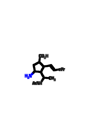 CCCC=CC1C(C(=O)O)CC(N)C1C(C)NC(C)=O